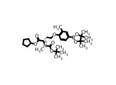 Cc1cc(B2OC(C)(C)C(C)(C)O2)ccc1OCC[C@@H](C(=O)OC1CCCC1)N(C)C(=O)OC(C)(C)C